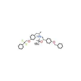 C[C@H](Cc1ccc(OCC(F)(F)c2ccccc2)cc1)NC[C@H](O[Si](C)(C)C(C)(C)C)c1c[c]c(OCc2ccccc2)cc1